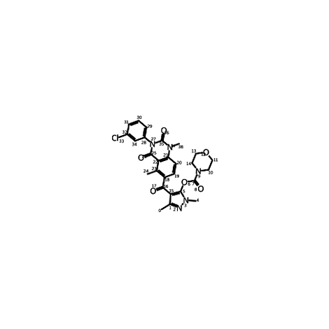 Cc1nn(C)c(OC(=O)N2CCOCC2)c1C(=O)c1ccc2c(c1C)c(=O)n(-c1cccc(Cl)c1)c(=O)n2C